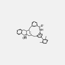 Cc1cccc(C)c1-c1cc2nc(n1)N[S+]([O-])c1cccc(c1)CC1CC(C2)C[C@H]2C1Cc1ccccc1[C@H]2O